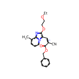 CCOCCOc1nc2c(C)cccn2c1/C=C(/C#N)C(=O)OCc1ccccc1